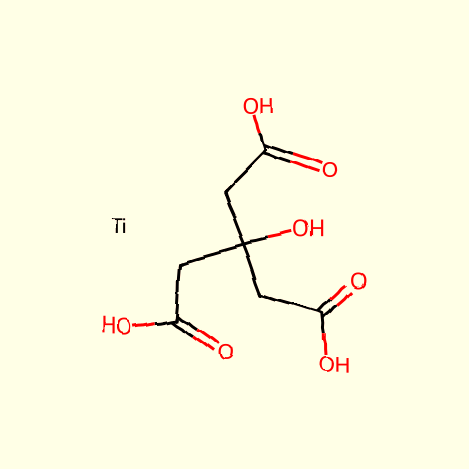 O=C(O)CC(O)(CC(=O)O)CC(=O)O.[Ti]